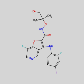 CC(C)(CO)ONC(=O)c1oc2c(F)cncc2c1Nc1ccc(I)cc1F